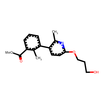 COC(=O)c1cccc(-c2ccc(OCCCO)nc2C)c1C